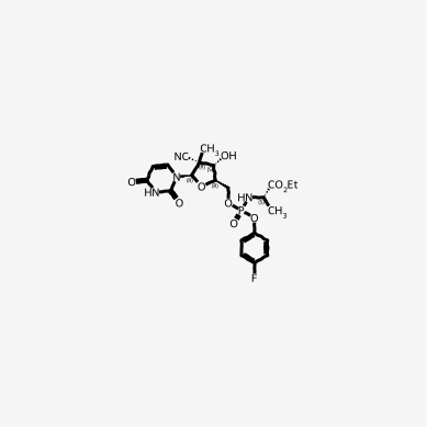 CCOC(=O)[C@H](C)NP(=O)(OC[C@H]1O[C@@H](n2ccc(=O)[nH]c2=O)[C@](C)(C#N)[C@@H]1O)Oc1ccc(F)cc1